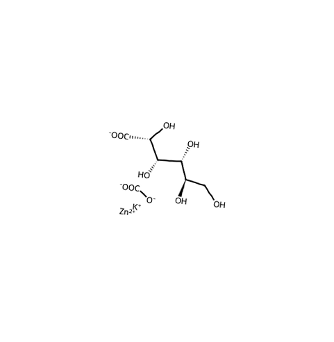 O=C([O-])[C@H](O)[C@@H](O)[C@H](O)[C@H](O)CO.O=C([O-])[O-].[K+].[Zn+2]